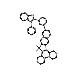 CC1(C)c2cc3cc(-c4cccc(-c5nc6ccccc6n5-c5ccccc5)c4)ccc3cc2-c2c1c1ccccc1c1ccccc21